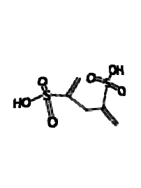 C=C(CC(=C)S(=O)(=O)O)S(=O)(=O)O